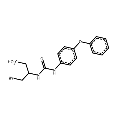 CC(C)CC(CC(=O)O)NC(=O)Nc1ccc(Oc2ccccc2)cc1